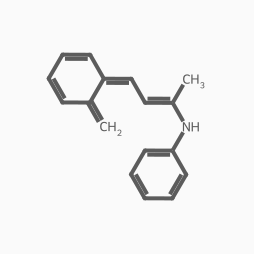 C=c1cccc/c1=C/C=C(\C)Nc1ccccc1